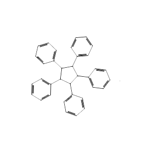 [Fe].c1ccc(C2C(c3ccccc3)C(c3ccccc3)C(c3ccccc3)C2c2ccccc2)cc1